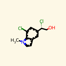 Cn1ccc2cc([C@H](Cl)CO)cc(Cl)c21